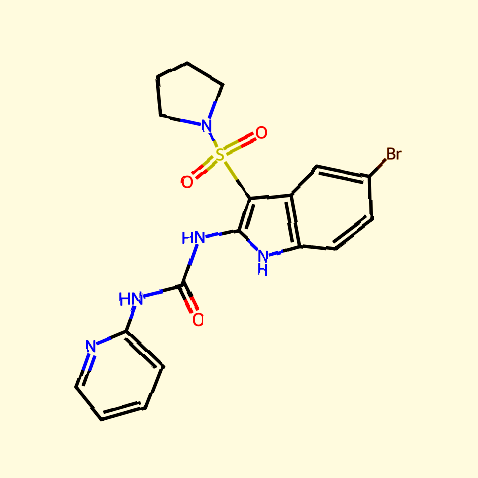 O=C(Nc1ccccn1)Nc1[nH]c2ccc(Br)cc2c1S(=O)(=O)N1CCCC1